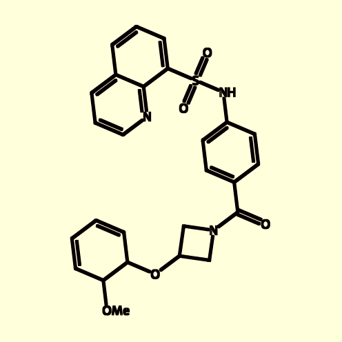 COC1C=CC=CC1OC1CN(C(=O)c2ccc(NS(=O)(=O)c3cccc4cccnc34)cc2)C1